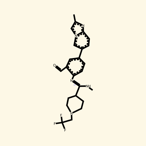 CN/C(=N\c1ccc(-c2ccc3nc(C)cn3c2)cc1C=O)C1CCN(CC(F)(F)F)CC1